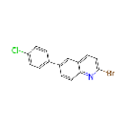 Clc1ccc(-c2ccc3nc(Br)ccc3c2)cc1